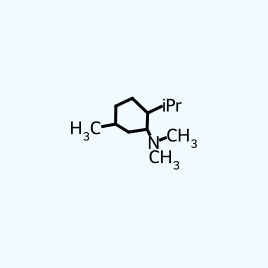 CC1CCC(C(C)C)C(N(C)C)C1